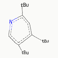 CC(C)(C)c1cc(C(C)(C)C)c(C(C)(C)C)cn1